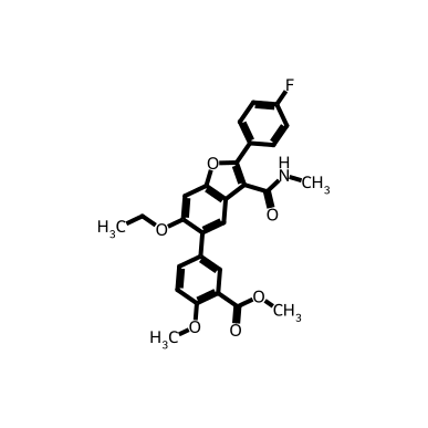 CCOc1cc2oc(-c3ccc(F)cc3)c(C(=O)NC)c2cc1-c1ccc(OC)c(C(=O)OC)c1